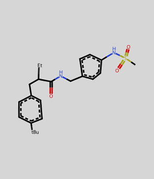 CCC(Cc1ccc(C(C)(C)C)cc1)C(=O)NCc1ccc(NS(C)(=O)=O)cc1